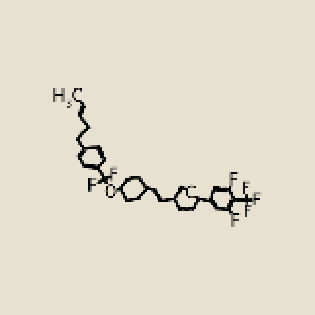 C/C=C/CCc1ccc(C(F)(F)OC2CCC(/C=C/C3CCC(c4cc(F)c(C(F)(F)F)c(F)c4)CC3)CC2)cc1